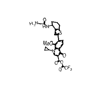 COc1c(-c2cc3c(s2)CCCC3NC(=O)CN)ccc2c(=O)c(C(=O)OC(=O)C(F)(F)F)cn(C3CC3)c12